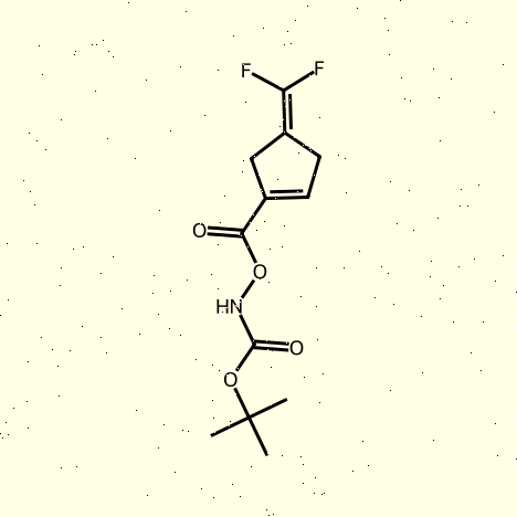 CC(C)(C)OC(=O)NOC(=O)C1=CCC(=C(F)F)C1